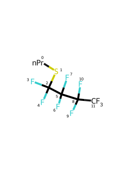 CCCSC(F)(F)C(F)(F)C(F)(F)C(F)(F)F